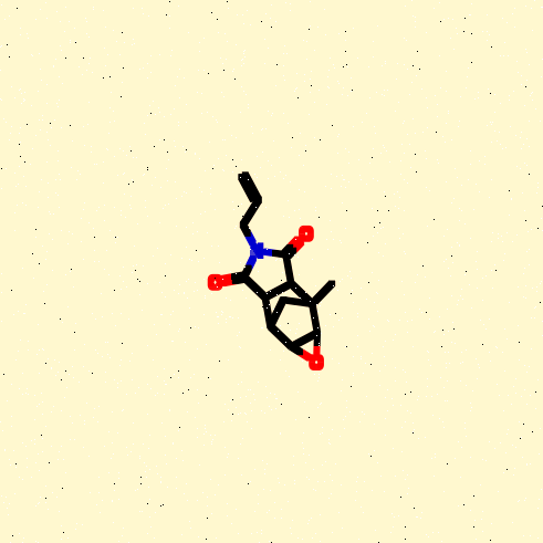 C=CCN1C(=O)C2C3CC(C)(C4OC34)C2C1=O